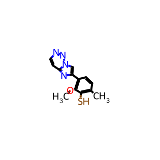 COc1c(-c2cn3nnccc3n2)ccc(C)c1S